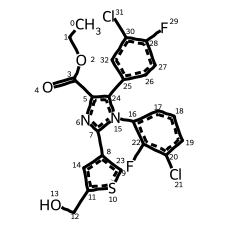 CCOC(=O)c1nc(-c2csc(CO)c2)n(-c2cccc(Cl)c2F)c1-c1ccc(F)c(Cl)c1